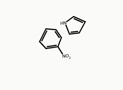 O=[N+]([O-])c1ccccc1.c1cc[nH]c1